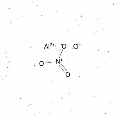 O=[N+]([O-])[O-].[Al+2].[Cl-]